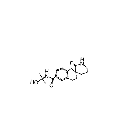 CC(C)(O)NC(=O)c1ccc2c(c1)CC[C@]1(CCCNC1=O)C2